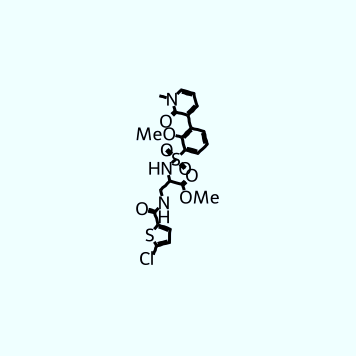 COC(=O)C(CNC(=O)c1ccc(Cl)s1)NS(=O)(=O)c1cccc(-c2cccn(C)c2=O)c1OC